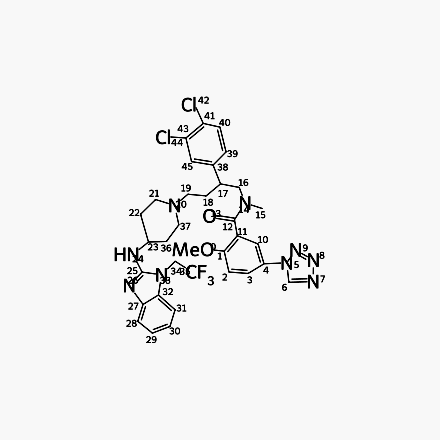 COc1ccc(-n2cnnn2)cc1C(=O)N(C)CC(CCN1CCC(Nc2nc3ccccc3n2CC(F)(F)F)CC1)c1ccc(Cl)c(Cl)c1